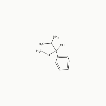 COC(O)(c1ccccc1)C(C)N